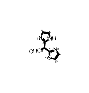 O=CC(c1ncc[nH]1)c1nccs1